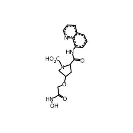 O=C(COC1CC(C(=O)Nc2cccc3cccnc23)N(C(=O)O)C1)NO